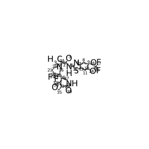 C[C@@H](C(=O)Nc1nc2cc3c(cc2s1)OC(F)(F)O3)N1CCC(F)(F)[C@@H](c2c[nH]c(=O)c3c2COC3)C1